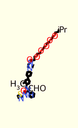 Cc1cc(-c2ccc(N3CCN(C(=O)CCOCCOCCOCCOCCOCCC(C)C)CC3)cc2)ccc1CN(C=O)C(C(=O)Nc1nccs1)c1ccccc1